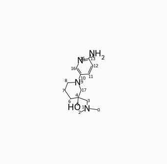 CN(C)CC1(O)CCCN(c2ccc(N)nc2)C1